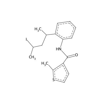 Cc1sccc1C(=O)Nc1ccccc1C(C)CC(C)I